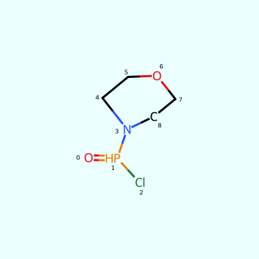 O=[PH](Cl)N1CCOCC1